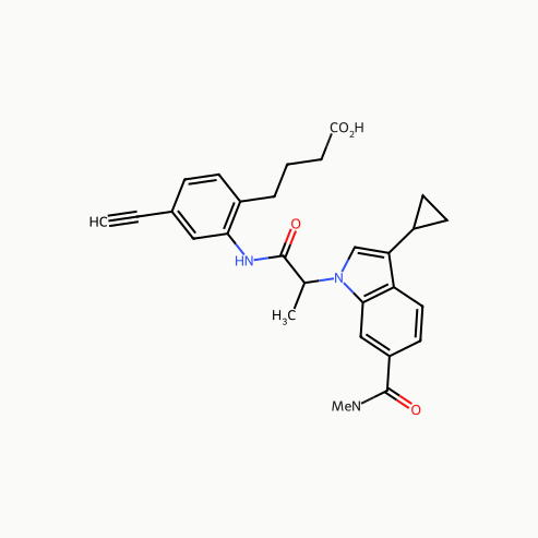 C#Cc1ccc(CCCC(=O)O)c(NC(=O)C(C)n2cc(C3CC3)c3ccc(C(=O)NC)cc32)c1